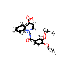 COc1ccc(C(=O)N2CCC(O)c3ccccc32)cc1OC